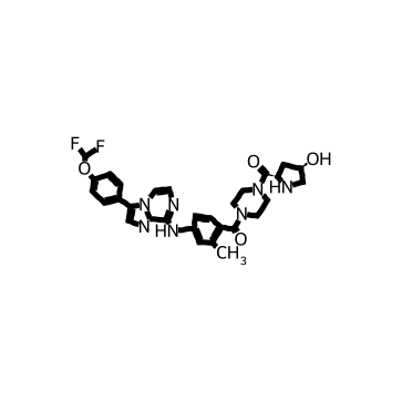 Cc1cc(Nc2nccn3c(-c4ccc(OC(F)F)cc4)cnc23)ccc1C(=O)N1CCN(C(=O)[C@@H]2C[C@H](O)CN2)CC1